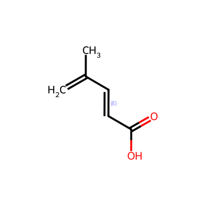 C=C(C)/C=C/C(=O)O